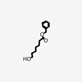 O=C(CCCCCCO)OCc1ccccc1